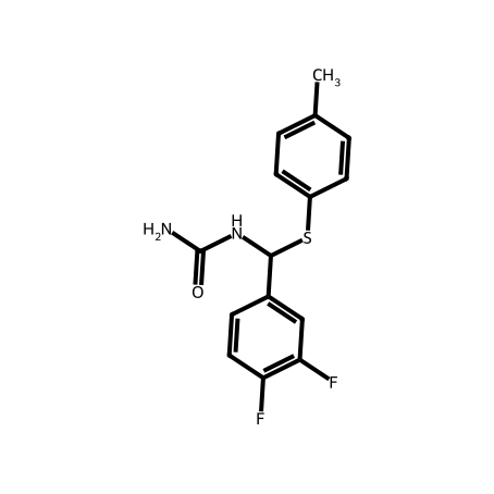 Cc1ccc(SC(NC(N)=O)c2ccc(F)c(F)c2)cc1